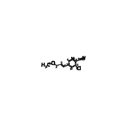 COCC=Cc1cnc(C#N)c(Cl)c1